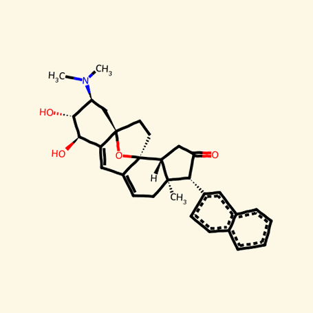 CN(C)[C@H]1C[C@@]23CC[C@@]4(O2)C(=CC[C@]2(C)[C@@H](c5ccc6ccccc6c5)C(=O)C[C@H]24)C=C3[C@@H](O)[C@@H]1O